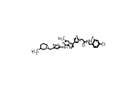 Cc1cn2c(-c3cnn(CC(=O)NCc4ccc(Cl)cc4F)c3)cnc2c(Nc2cc(CN3CCCC(C)C3)ns2)n1